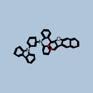 c1ccc(N(c2cccc(-n3c4ccccc4c4ccccc43)c2)c2ccccc2-c2cccc3c2oc2cc4ccccc4cc23)cc1